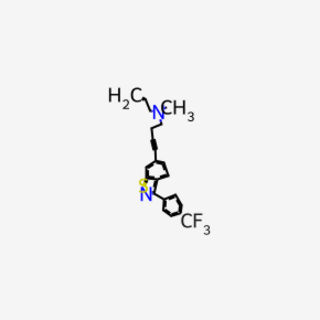 C=CCN(C)CCC#Cc1ccc2c(-c3ccc(C(F)(F)F)cc3)nsc2c1